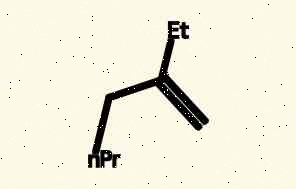 [CH2]CCCC(=C)CC